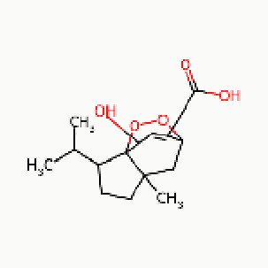 CC(C)C1CCC2(C)CC3OOC12C(O)C=C3C(=O)O